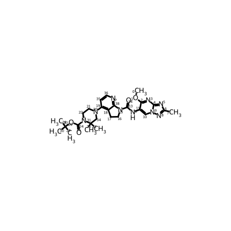 COc1nc2nc(C)nn2cc1NC(=O)N1CCc2c(N3CCN(C(=O)OC(C)(C)C)C(C)(C)C3)ccnc21